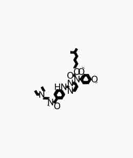 CCN(CC)CCN(C)C(=O)c1ccc(Nc2nccc(N(C(=O)OCCCCC(C)C)c3ccc(OC)cc3OC)n2)cc1